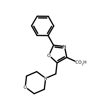 O=C(O)c1nc(-c2ccccc2)oc1CN1CCOCC1